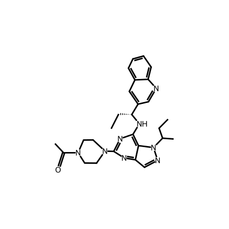 CCC(C)n1ncc2nc(N3CCN(C(C)=O)CC3)nc(N[C@H](CC)c3cnc4ccccc4c3)c21